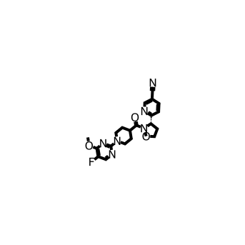 COc1nc(N2CCC(C(=O)N3OCC[C@H]3c3ccc(C#N)cn3)CC2)ncc1F